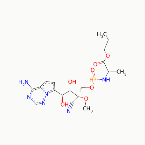 CCCOC(=O)[C@H](C)N[PH](=O)OC[C@@](C#N)(OC)[C@@H](O)[C@@H](O)c1ccc2c(N)ncnn12